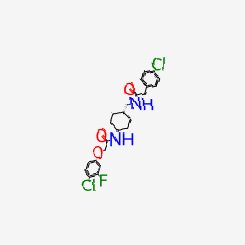 O=C(Cc1ccc(Cl)cc1)NC[C@H]1CC[C@H](NC(=O)COc2ccc(Cl)c(F)c2)CC1